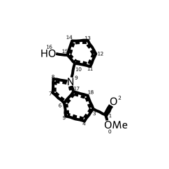 COC(=O)c1ccc2ccn(-c3ccccc3O)c2c1